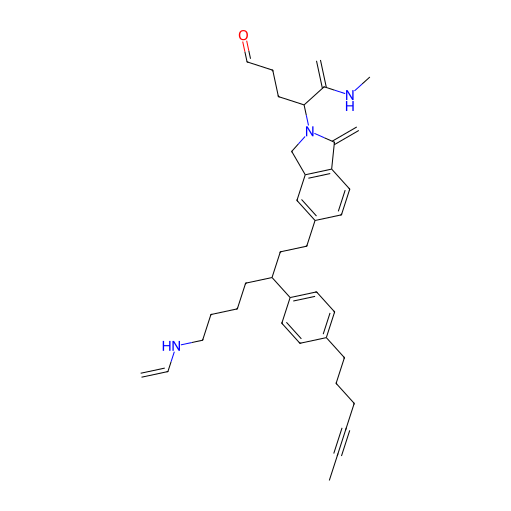 C=CNCCCCC(CCc1ccc2c(c1)CN(C(CCC=O)C(=C)NC)C2=C)c1ccc(CCCC#CC)cc1